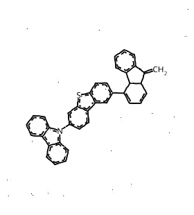 C=C1c2ccccc2C2C(c3ccc4sc5cc(-n6c7ccccc7c7ccccc76)ccc5c4c3)=CC=CC12